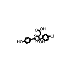 O=C(O)CC1SC(c2ccc(O)cc2)=NC1(O)c1ccc(Cl)cc1